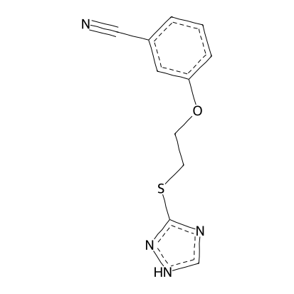 N#Cc1cccc(OCCSc2nc[nH]n2)c1